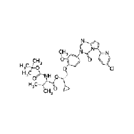 COc1cc(-n2cnc3ccc(-c4ccc(Cl)cn4)n3c2=O)ccc1OC[C@@H](OC(=O)C(NC(=O)OC(C)(C)C)C(C)C)C1CC1